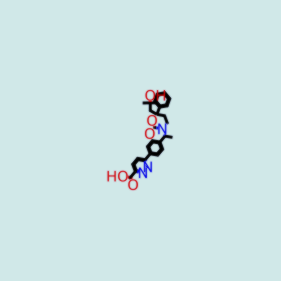 CC(c1ccc(-c2ccc(C(=O)O)nn2)cc1)N1CCC(CC(C)(C)O)(c2ccccc2)OC1=O